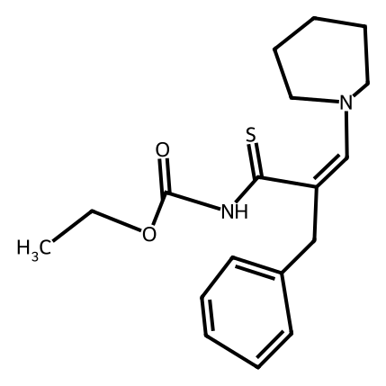 CCOC(=O)NC(=S)C(=CN1CCCCC1)Cc1ccccc1